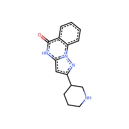 O=c1[nH]c2cc(C3CCCNC3)nn2c2ccccc12